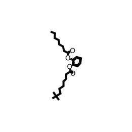 CCCCCCCC(=O)Oc1ccccc1OC(=O)CCCCCCC(C)(C)C